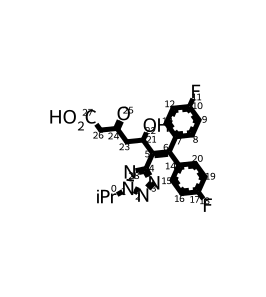 CC(C)n1nnc(C(=C(c2ccc(F)cc2)c2ccc(F)cc2)C(O)CC(=O)CC(=O)O)n1